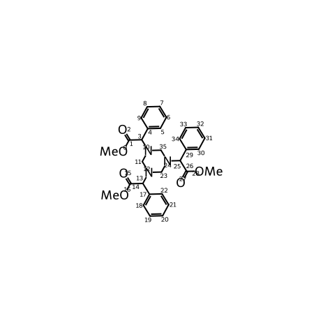 COC(=O)C(c1ccccc1)N1CN(C(C(=O)OC)c2ccccc2)CN(C(C(=O)OC)c2ccccc2)C1